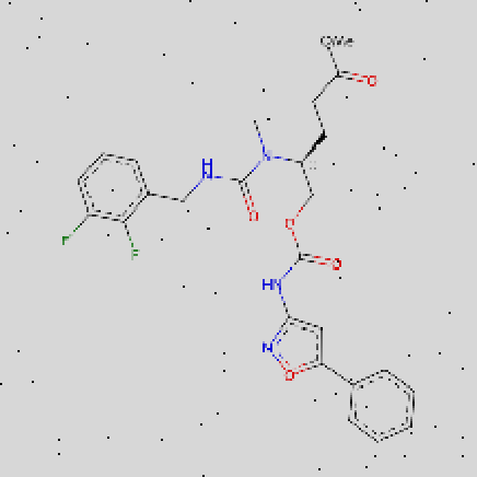 COC(=O)CC[C@@H](COC(=O)Nc1cc(-c2ccccc2)on1)N(C)C(=O)NCc1cccc(F)c1F